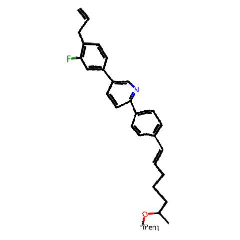 C=CCc1ccc(-c2ccc(-c3ccc(C=CCCCC(C)OCCCCC)cc3)nc2)cc1F